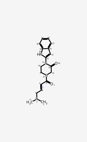 CN(C)C/C=C/C(=O)N1CCN(c2cc3ccccc3[nH]2)C(=O)C1